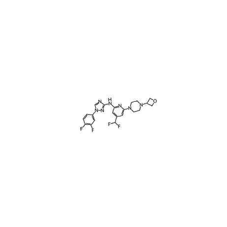 Fc1ccc(-n2cnc(Nc3cc(C(F)F)cc(N4CCN(C5COC5)CC4)n3)n2)cc1F